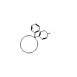 OC1C=CC(C2(c3ccccc3)CCCCCCCCCCC2)=CC1